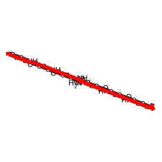 CCCOCCOCCOCCOCCNC(=O)CCOCCOCCOCCOCCNC(=O)CCOCCOCCOCCOCCNC(=O)C(N)C(N)C(=O)NCCOCCOCCOCCOCCC(=O)NCCOCCOCCOCCOCCC(=O)NCCOCCOCCOCCOCCC(C(C)(C)C)C(C)(C)C